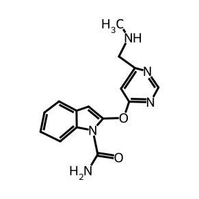 CNCc1cc(Oc2cc3ccccc3n2C(N)=O)ncn1